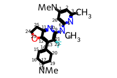 CNc1cc(C)nc(N(C)c2nc3c(c(C4=CC[C@@H](NC)CC4)c2F)OCC3)c1